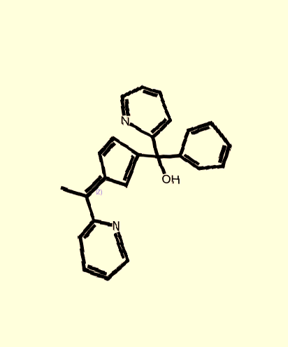 C/C(=C1\C=CC(C(O)(c2ccccc2)c2ccccn2)=C1)c1ccccn1